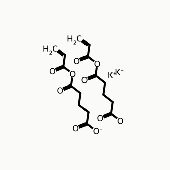 C=CC(=O)OC(=O)CCCC(=O)[O-].C=CC(=O)OC(=O)CCCC(=O)[O-].[K+].[K+]